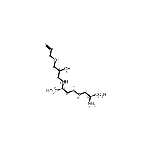 C=CCOCC(O)CN[C@@H](CSSC[C@H](N)C(=O)O)C(=O)O